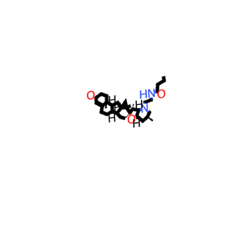 CCCC(=O)NCCN1C[C@@H](C)C[C@H]2O[C@]3(CC[C@H]4[C@@H]5CCC6=CC(=O)CC[C@]6(C)[C@H]5CC45CC53C)[C@H](C)[C@@H]21